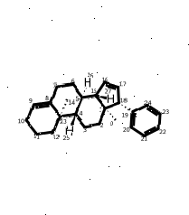 C[C@]12CC[C@H]3[C@@H](CCC4=CCCC[C@@]43C)[C@@H]1C=C[C@@H]2c1ccccc1